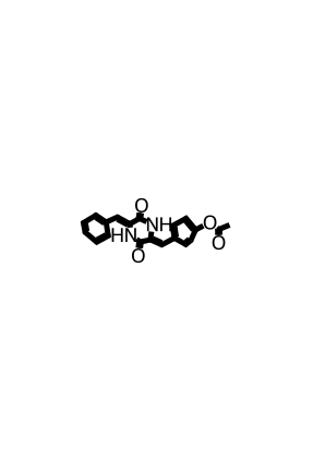 CC(=O)Oc1ccc(C=c2[nH]c(=O)c(=Cc3ccccc3)[nH]c2=O)cc1